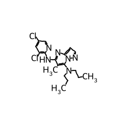 CCCN(CCC)c1c(C)c(Nc2ncc(Cl)cc2Cl)nc2ccnn12